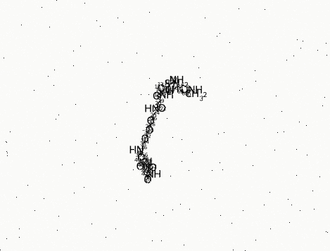 CC1(N)CCN(c2cnc(Sc3cccc(NC(=O)CCC(=O)NCCCOCCOCCOCCCNc4ccc5c(=O)n(C6CCC(=O)NC6=O)ncc5c4)c3Cl)c(N)n2)CC1